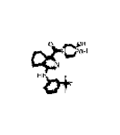 O=C(c1ncc(Nc2cccc(C(F)(F)F)c2)c2c1CCCC2)N1CCS(O)(O)CC1